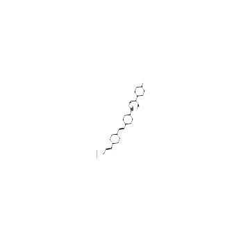 CC1CCC(C2COC(C3CCC(/C=C/C4CCC(/C(F)=C/CF)CC4)CC3)OC2)CC1